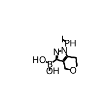 OB(O)c1nn(PI)c2c1COCC2